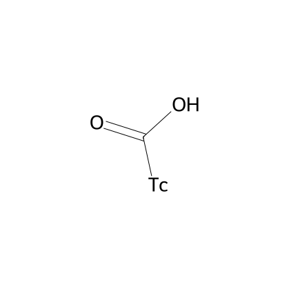 O=[C](O)[Tc]